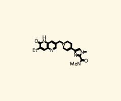 CCc1cc2ncc(CN3CC=C(c4cn(C)c(C(=O)NC)n4)CC3)cc2[nH]c1=O